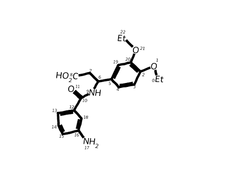 CCOc1ccc(C(CC(=O)O)NC(=O)c2cccc(N)c2)cc1OCC